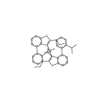 CCCC1=C([Si](C)(C)C2=C(CCC)[CH]c3cccc(-c4ccccc4C(C)C)c32)c2c(cccc2-c2ccccc2C(C)C)[CH]1